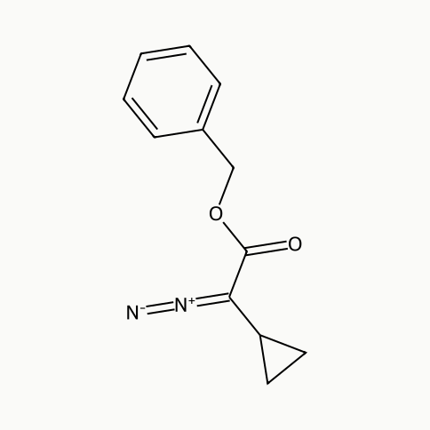 [N-]=[N+]=C(C(=O)OCc1ccccc1)C1CC1